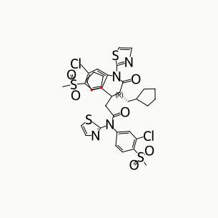 CS(=O)(=O)c1ccc(N(C(=O)CC(C2CCCC2)[C@@H](CC2CCCC2)C(=O)N(c2ccc(S(C)(=O)=O)c(Cl)c2)c2nccs2)c2nccs2)cc1Cl